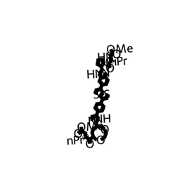 CCC[C@@H](CC(=O)OC)C(=O)C1CCC(c2ncc(-c3ccc(-c4csc5c(-c6ccc7nc(C8C=CCN8C(=O)[C@@H](NC(=O)OC)C(C)C)[nH]c7c6)csc45)cc3)[nH]2)COCCOC1